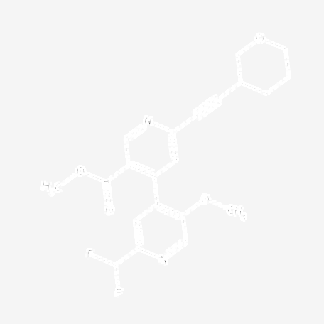 COC(=O)c1cnc(C#CC2CCCOC2)cc1-c1cc(C(F)F)ncc1OC